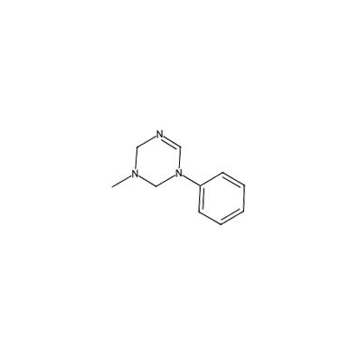 CN1CN=CN(c2ccccc2)C1